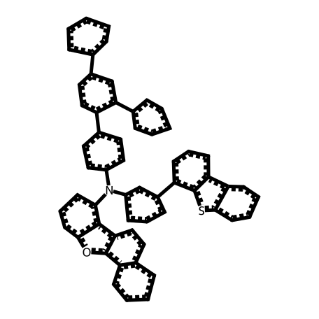 c1ccc(-c2ccc(-c3ccc(N(c4cccc(-c5cccc6c5sc5ccccc56)c4)c4cccc5oc6c7ccccc7ccc6c45)cc3)c(-c3ccccc3)c2)cc1